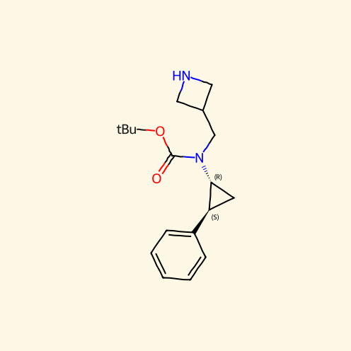 CC(C)(C)OC(=O)N(CC1CNC1)[C@@H]1C[C@H]1c1ccccc1